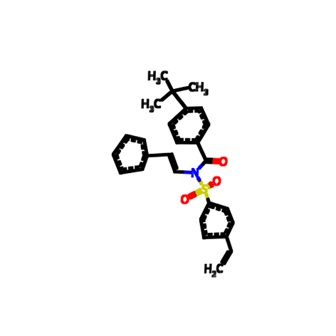 C=Cc1ccc(S(=O)(=O)N(C=Cc2ccccc2)C(=O)c2ccc(C(C)(C)C)cc2)cc1